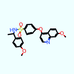 COc1ccc(C(C)NS(=O)(=O)c2ccc(Oc3ccnc4cc(OC)ccc34)cc2)cc1